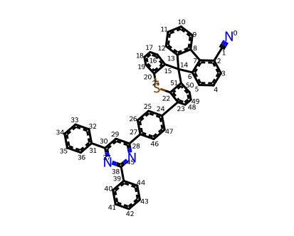 N#Cc1cccc2c1-c1ccccc1C21c2ccccc2Sc2c(-c3ccc(-c4cc(-c5ccccc5)nc(-c5ccccc5)n4)cc3)cccc21